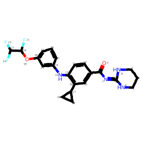 O=C(N=C1NCCCN1)c1ccc(Nc2cccc(OC(F)C(F)F)c2)c(C2CC2)c1